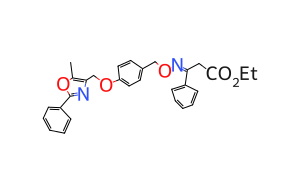 CCOC(=O)CC(=NOCc1ccc(OCc2nc(-c3ccccc3)oc2C)cc1)c1ccccc1